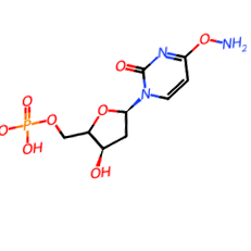 NOc1ccn([C@H]2C[C@@H](O)C(COP(=O)(O)O)O2)c(=O)n1